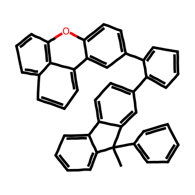 CC1(c2ccccc2)c2ccccc2-c2ccc(-c3ccccc3-c3ccc4c(c3)-c3cccc5cccc(c35)O4)cc21